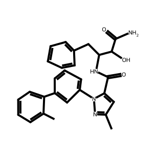 Cc1cc(C(=O)NC(Cc2ccccc2)C(O)C(N)=O)n(-c2cccc(-c3ccccc3C)c2)n1